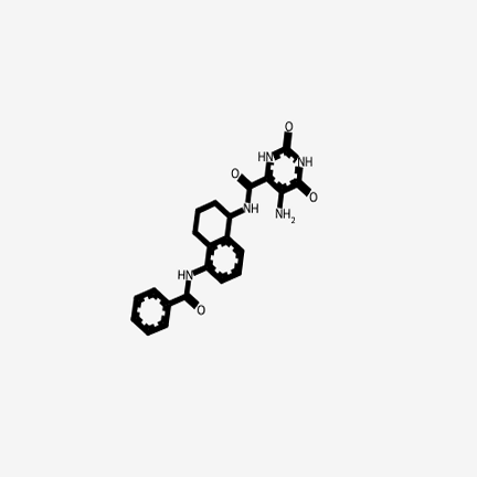 Nc1c(C(=O)NC2CCCc3c(NC(=O)c4ccccc4)cccc32)[nH]c(=O)[nH]c1=O